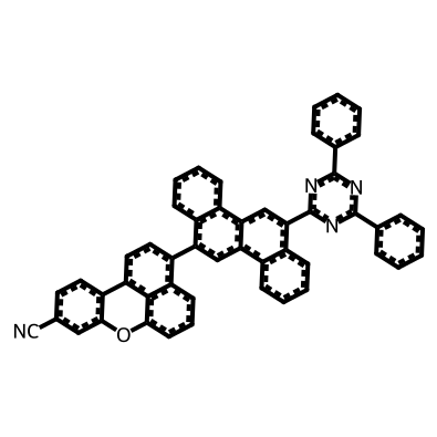 N#Cc1ccc2c(c1)Oc1cccc3c(-c4cc5c6ccccc6c(-c6nc(-c7ccccc7)nc(-c7ccccc7)n6)cc5c5ccccc45)ccc-2c13